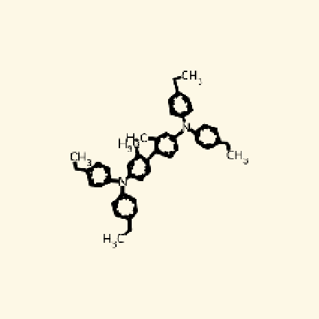 CCc1ccc(N(c2ccc(CC)cc2)c2ccc(-c3ccc(N(c4ccc(CC)cc4)c4ccc(CC)cc4)cc3C)c(C)c2)cc1